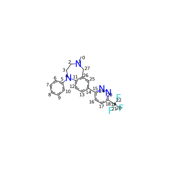 CN1CCN(c2ccccc2)c2ccc(-c3ccc(C(F)(F)F)nn3)cc2C1